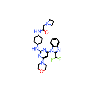 O=C(CN1CCC1)N[C@H]1CC[C@H](Nc2nc(N3CCOCC3)cc(-n3c(C(F)F)nc4ccccc43)n2)CC1